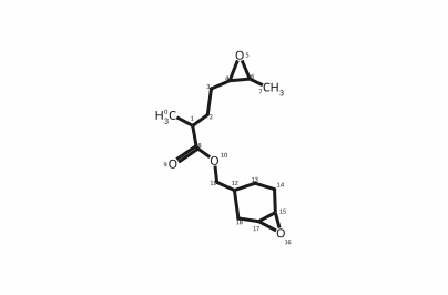 CC(CCC1OC1C)C(=O)OCC1CCC2OC2C1